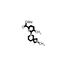 COC(=O)c1ccc(C)c(N2CCCC3(CN(C)C3)C2)n1